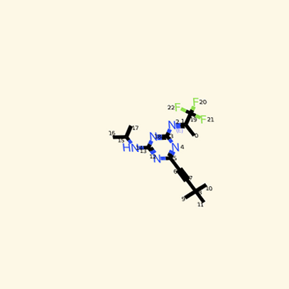 C/C(=N\c1nc(C#CC(C)(C)C)nc(NC(C)C)n1)C(F)(F)F